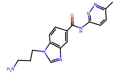 Cc1ccc(NC(=O)c2ccc3c(c2)ncn3CCCN)nn1